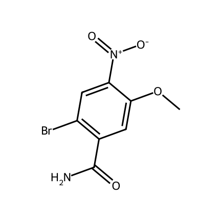 COc1cc(C(N)=O)c(Br)cc1[N+](=O)[O-]